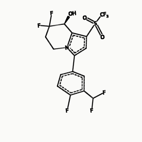 O=S(=O)(c1cc(-c2ccc(F)c(C(F)F)c2)n2c1[C@H](O)C(F)(F)CC2)C(F)(F)F